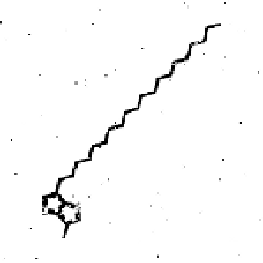 CCCCCCCCCCCCCCCCCCCCc1csc2c(C)csc12